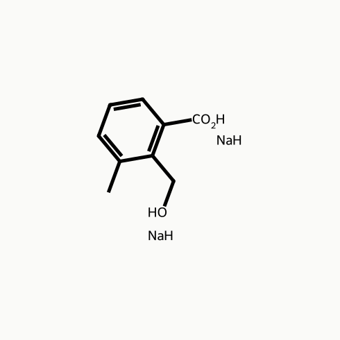 Cc1cccc(C(=O)O)c1CO.[NaH].[NaH]